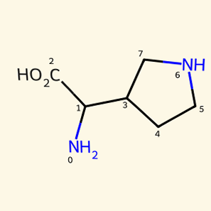 NC(C(=O)O)C1CCNC1